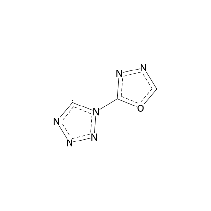 [c]1nnnn1-c1nnco1